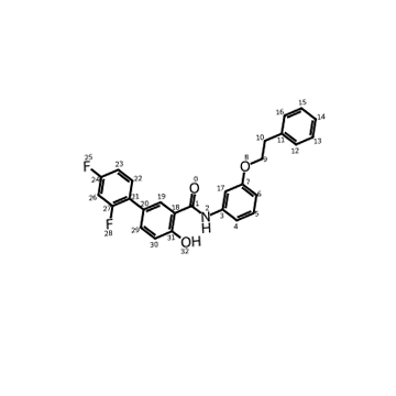 O=C(Nc1cccc(OCCc2ccccc2)c1)c1cc(-c2ccc(F)cc2F)ccc1O